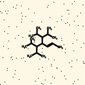 CC(C)N(C(C)C)C(C=C[SiH3])N(C(C)C)C(C)C